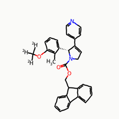 [2H]C([2H])([2H])Oc1cccc([C@@H]2C(c3ccncc3)=CCN2C(=O)OCC2c3ccccc3-c3ccccc32)c1C